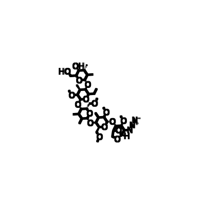 CCC1O[C@@H](O[C@H]2C(C)C(C)[C@@H](O[C@H]3C(C)C(OC)[C@H](O[C@H]4C5CO[C@H](O5)C(N=[N+]=[N-])[C@@H]4OC)O[C@H]3COC)O[C@H]2COC)C(OC)[C@@H](C)[C@@H]1O[C@@H]1OC(CO)[C@@H](O)[C@H](C)C1C